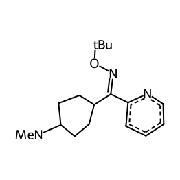 CNC1CCC(/C(=N\OC(C)(C)C)c2ccccn2)CC1